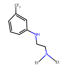 CCN([CH]CNc1cccc(C(F)(F)F)c1)CC